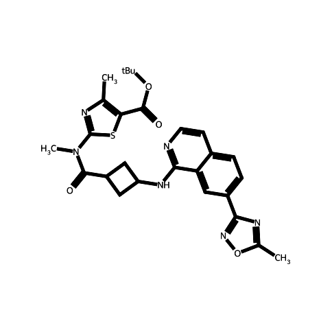 Cc1nc(-c2ccc3ccnc(NC4CC(C(=O)N(C)c5nc(C)c(C(=O)OC(C)(C)C)s5)C4)c3c2)no1